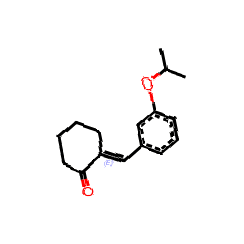 CC(C)Oc1cccc(/C=C2\CCCCC2=O)c1